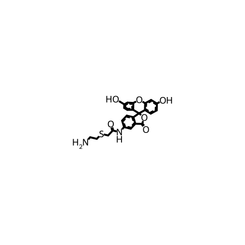 NCCSCC(=O)Nc1ccc2c(c1)C(=O)OC21c2ccc(O)cc2Oc2cc(O)ccc21